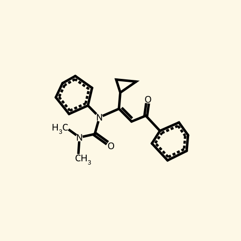 CN(C)C(=O)N(C(=CC(=O)c1ccccc1)C1CC1)c1ccccc1